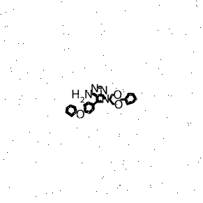 Nc1ncnc2c1c(-c1ccc(Oc3ccccc3)cc1)cn2C1COC(c2ccccc2)OC1